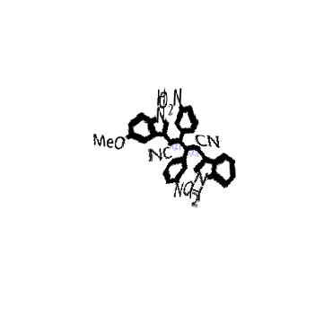 COc1ccc2[nH]cc(/C(C#N)=C(/C(=C(\C#N)c3c[nH]c4ccccc34)c3cccc([N+](=O)[O-])c3)c3cccc([N+](=O)[O-])c3)c2c1